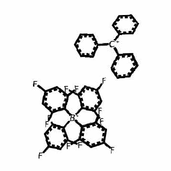 Fc1cc(F)c([B-](c2c(F)cc(F)cc2F)(c2c(F)cc(F)cc2F)c2c(F)cc(F)cc2F)c(F)c1.c1ccc([C+](c2ccccc2)c2ccccc2)cc1